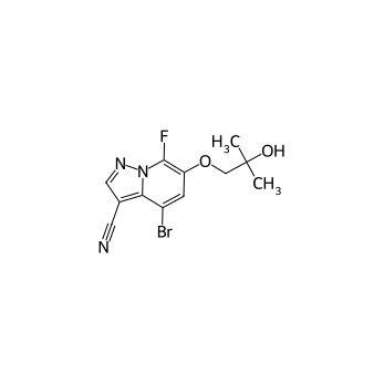 CC(C)(O)COc1cc(Br)c2c(C#N)cnn2c1F